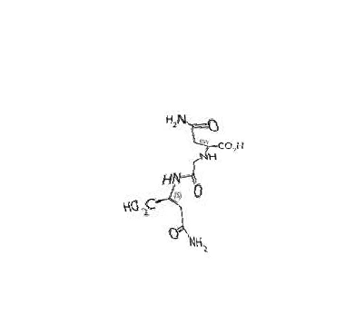 NC(=O)C[C@H](NCC(=O)N[C@@H](CC(N)=O)C(=O)O)C(=O)O